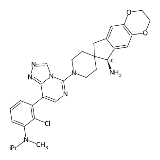 CC(C)N(C)c1cccc(-c2cnc(N3CCC4(CC3)Cc3cc5c(cc3[C@H]4N)OCCO5)n3cnnc23)c1Cl